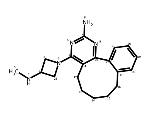 CNC1CN(c2nc(N)nc3c2CCCCCc2ccccc2-3)C1